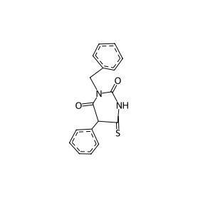 O=C1NC(=S)C(c2ccccc2)C(=O)N1Cc1ccccc1